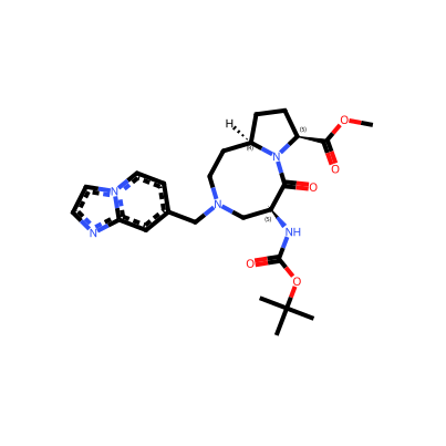 COC(=O)[C@@H]1CC[C@@H]2CCN(Cc3ccn4ccnc4c3)C[C@H](NC(=O)OC(C)(C)C)C(=O)N21